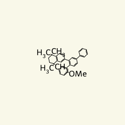 COc1ccccc1-c1ccc(-c2ccccc2)cc1-c1ccc2c(c1)C(C)(C)CCC2(C)C